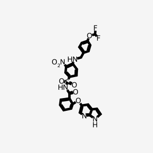 O=C(NS(=O)(=O)c1ccc(NCc2ccc(OC(F)F)cc2)c([N+](=O)[O-])c1)c1ccccc1Oc1cnc2[nH]ccc2c1